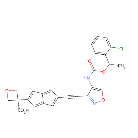 CC(OC(=O)Nc1conc1C#CC1=CC2=CC(C3(C(=O)O)COC3)=CC2=C1)c1ccccc1Cl